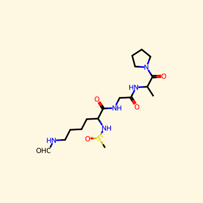 CC(NC(=O)CNC(=O)C(CCCCNC=O)N[S+](C)[O-])C(=O)N1CCCC1